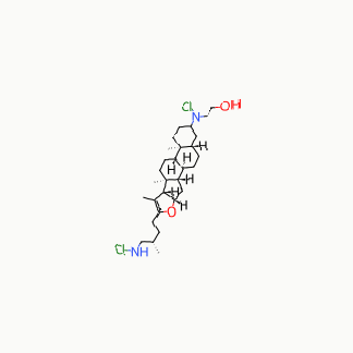 CC1=C(CC[C@H](C)CNCl)O[C@H]2C[C@H]3[C@@H]4CC[C@H]5CC(N(Cl)CCO)CC[C@]5(C)[C@H]4CC[C@]3(C)[C@@H]12